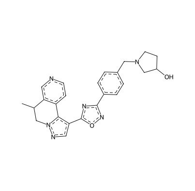 CC1Cn2ncc(-c3nc(-c4ccc(CN5CCC(O)C5)cc4)no3)c2-c2ccncc21